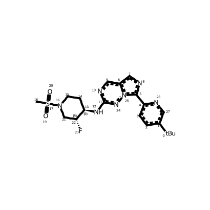 CC(C)(C)c1ccc(-c2ncc3cnc(N[C@@H]4CCN(S(C)(=O)=O)C[C@H]4F)nn23)nc1